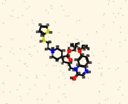 CCOC(=O)C1(CCCn2c(=O)cnc3ccc(OC)cc32)CCN(CCSc2cccs2)CC1